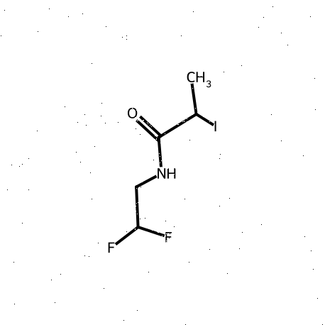 CC(I)C(=O)NCC(F)F